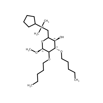 CCCCCOC1[C@@H](OC)OC(C[N+](C)(C)C2CCCC2)[C@@H](O)[C@@H]1OCCCCC